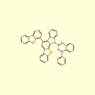 c1ccc(-c2nc(-n3c4ccccc4c4c(-c5cccc6c5oc5ccccc56)cc5c6ccccc6oc5c43)nc3ccccc23)cc1